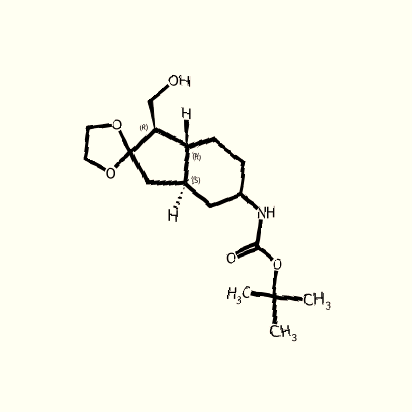 CC(C)(C)OC(=O)NC1CC[C@@H]2[C@@H](C1)CC1(OCCO1)[C@H]2CO